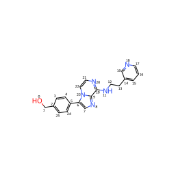 OCc1ccc(-c2cnc3c(NCCc4cccnc4)nccn23)cc1